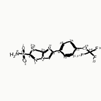 NS(=O)(=O)c1nn2cc(-c3ccc(OC(F)(F)F)cc3)nc2s1